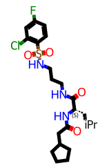 CC(C)C[C@H](NC(=O)CC1CCCC1)C(=O)NCCCNS(=O)(=O)c1ccc(F)cc1Cl